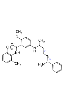 C=C(/C=C/N=C(\N)c1ccccc1)Nc1ccc(OC)c([S+]([O-])Nc2c(C)cccc2C)c1